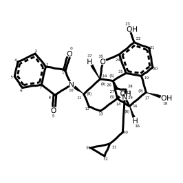 O=C1c2ccccc2C(=O)N1[C@@H]1CC[C@@]2(O)[C@H]3[C@H](O)c4ccc(O)c5c4[C@@]2(CCN3CC2CC2)[C@H]1O5